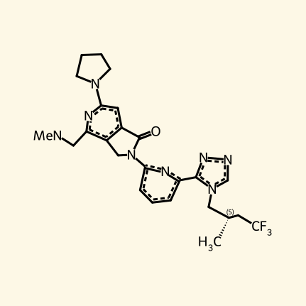 CNCc1nc(N2CCCC2)cc2c1CN(c1cccc(-c3nncn3C[C@@H](C)CC(F)(F)F)n1)C2=O